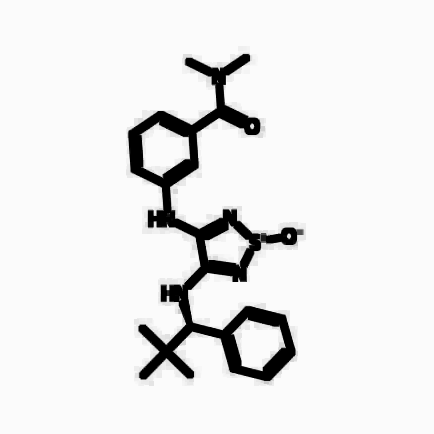 CN(C)C(=O)c1cccc(Nc2n[s+]([O-])nc2N[C@@H](c2ccccc2)C(C)(C)C)c1